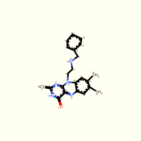 C=c1nc2c(c(=O)[nH]1)=Nc1cc(C)c(C)cc1N2CCNCc1ccccc1